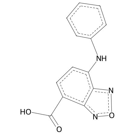 O=C(O)c1ccc(Nc2ccccc2)c2nonc12